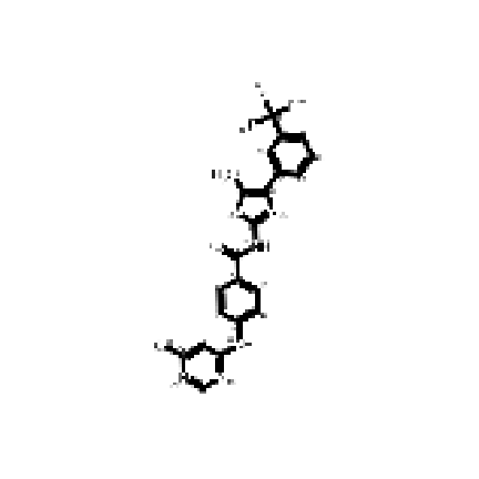 Cc1sc(NC(=O)c2ccc(Nc3cc(Cl)ncn3)cc2)nc1-c1cccc(C(F)(F)F)c1